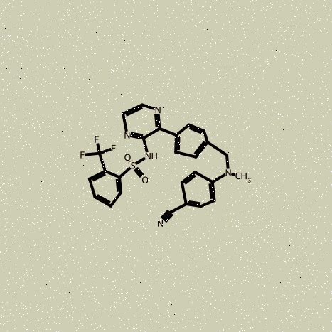 CN(Cc1ccc(-c2nccnc2NS(=O)(=O)c2ccccc2C(F)(F)F)cc1)c1ccc(C#N)cc1